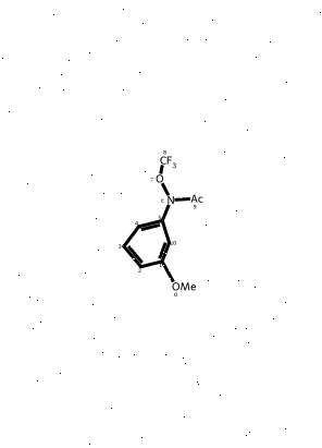 COc1cccc(N(OC(F)(F)F)C(C)=O)c1